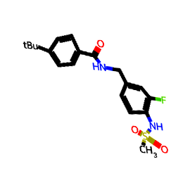 CC(C)(C)c1ccc(C(=O)NCc2ccc(NS(C)(=O)=O)c(F)c2)cc1